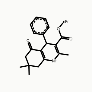 CCCOC(=O)C1=C(C)NC2=C(C(=O)CC(C)(C)C2)C1c1ccccc1